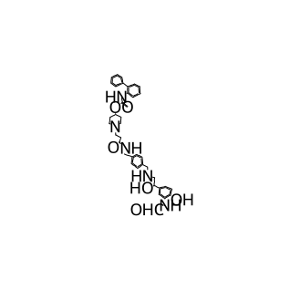 O=CNc1cc([C@@H](O)CNCc2ccc(CNC(=O)CCN3CCC(OC(=O)Nc4ccccc4-c4ccccc4)CC3)cc2)ccc1O